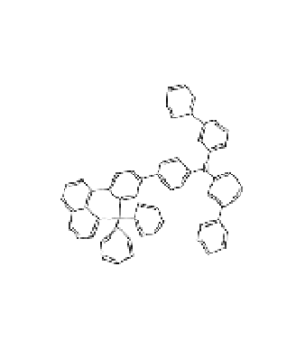 c1ccc(-c2cccc(N(c3ccc(-c4ccc5c(c4)C(c4ccccc4)(c4ccccc4)c4cccc6cccc-5c46)cc3)c3cccc(-c4ccccc4)c3)c2)cc1